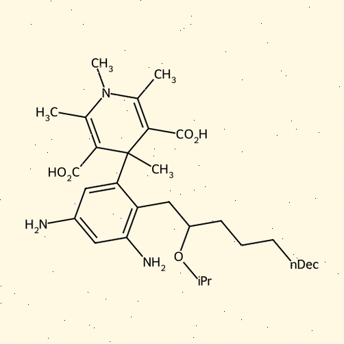 CCCCCCCCCCCCCC(Cc1c(N)cc(N)cc1C1(C)C(C(=O)O)=C(C)N(C)C(C)=C1C(=O)O)OC(C)C